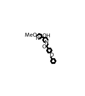 COc1ccc(C2(O)CCN(CC(=O)c3ccc(OCc4ccccc4)cc3)CC2)cn1